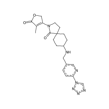 CC1=C(N2CCC3(CCC(NCc4ccc(-n5cnnn5)nc4)CC3)C2=O)COC1=O